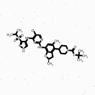 Cc1cc(Nc2ncc(Cl)c(Nc3c[nH]nc3S(=O)(=O)C(C)C)n2)c2c(c1C1CCN(C(=O)OC(C)(C)C)CC1)C[C@@H](C)O2